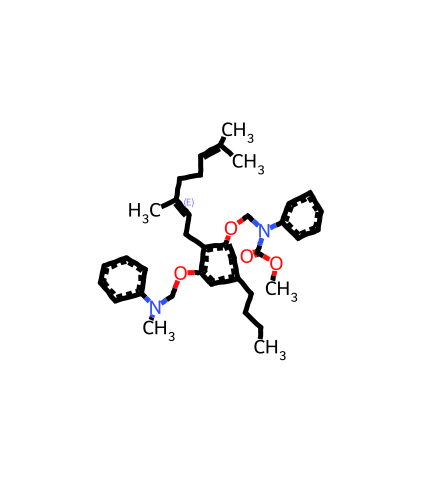 CCCCc1cc(OCN(C)c2ccccc2)c(C/C=C(\C)CCC=C(C)C)c(OCN(C(=O)OC)c2ccccc2)c1